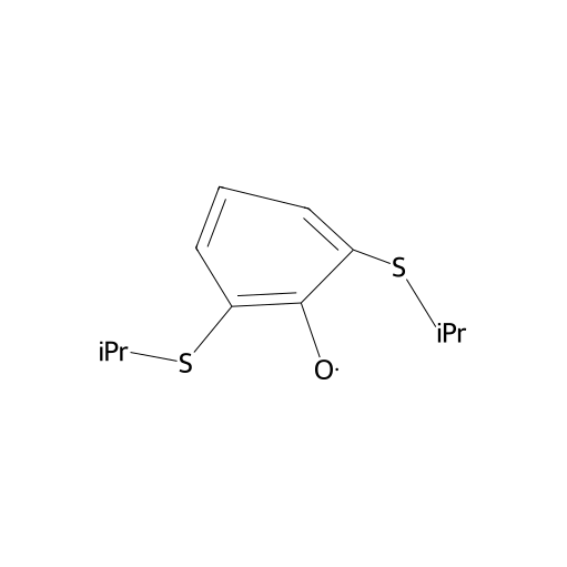 CC(C)Sc1cccc(SC(C)C)c1[O]